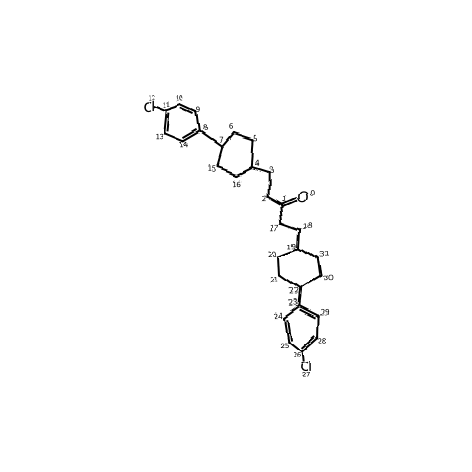 O=C(CCC1CCC(c2ccc(Cl)cc2)CC1)CCC1CCC(c2ccc(Cl)cc2)CC1